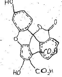 O=C1OC2(c3ccc(O)cc3Oc3cc(O)c(C(=O)O)c(C(=O)O)c32)c2ccccc21